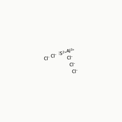 [Al+3].[Cl-].[Cl-].[Cl-].[Cl-].[Cl-].[S+2]